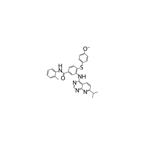 COc1ccc(Sc2ccc(C(=O)Nc3ccccc3C)cc2Nc2ncnc3nc(C(C)C)ccc23)cc1